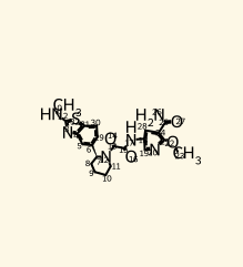 CNc1nc2cc([C@@H]3CCCCN3C(=O)C(=O)Nc3cnc(OC)c(C(N)=O)c3)ccc2s1